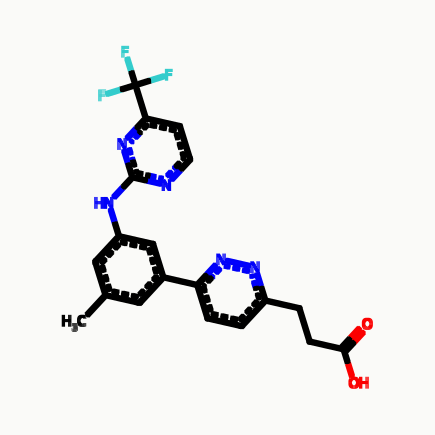 Cc1cc(Nc2nccc(C(F)(F)F)n2)cc(-c2ccc(CCC(=O)O)nn2)c1